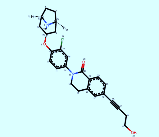 CN1[C@@H]2CC[C@H]1C[C@@H](Oc1ccc(N3CCc4cc(C#CCCO)ccc4C3=O)cc1Cl)C2